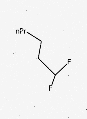 CCCC[CH]C(F)F